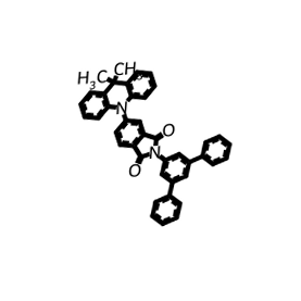 CC1(C)c2ccccc2N(c2ccc3c(c2)C(=O)N(c2cc(-c4ccccc4)cc(-c4ccccc4)c2)C3=O)c2ccccc21